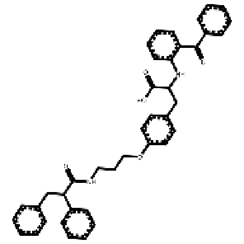 O=C(c1ccccc1)c1ccccc1NC(Cc1ccc(OCCCNC(=O)C(Cc2ccccc2)c2ccccc2)cc1)C(=O)O